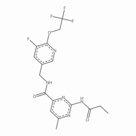 CCC(=O)Nc1nc(C)cc(C(=O)NCc2cnc(OCC(F)(F)F)c(F)c2)n1